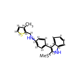 CSc1[nH]c2ccccc2c1-c1ccc(NCc2sccc2C)cc1